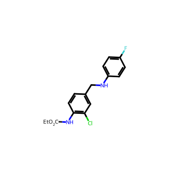 CCOC(=O)Nc1ccc(CNc2ccc(F)cc2)cc1Cl